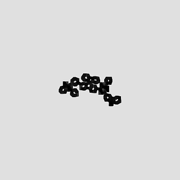 c1ccc(-c2nc(-c3ccc4c(c3)C3(c5ccccc5-c5ccccc53)c3cc(-c5cccc(-c6nc7ccccc7n6-c6ccccc6)c5)ccc3-4)nc(-c3ccc4sc5ccccc5c4c3)n2)cc1